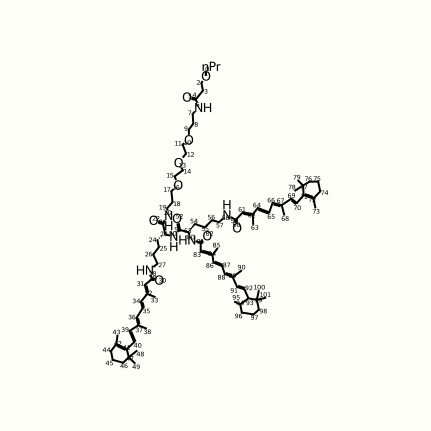 CCCOCCC(=O)NCCCOCCOCCOCCCNC(=O)[C@@H](CCCCNC(=O)/C=C(C)/C=C/C=C(C)/C=C/C1=C(C)CCCC1(C)C)NC(=O)[C@@H](CCCCNC(=O)/C=C(C)/C=C/C=C(C)/C=C/C1=C(C)CCCC1(C)C)NC(=O)/C=C(C)/C=C/C=C(C)/C=C/C1C(C)CCCC1(C)C